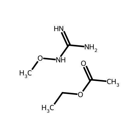 CCOC(C)=O.CONC(=N)N